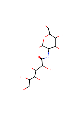 O=C(NC1C(O)OC(CO)C(O)C1O)C(O)C(O)C(O)C(O)CO